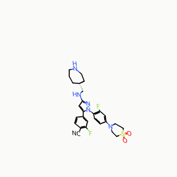 N#Cc1ccc(-c2cc(NC[C@@H]3CCCNCC3)nn2-c2ccc(N3CCS(=O)(=O)CC3)cc2F)cc1F